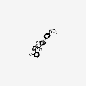 O=C(O)[C@@H]1CC[C@H](c2ccccc2Cl)N1C(=O)C1CCN(c2ccc([N+](=O)[O-])cc2)CC1